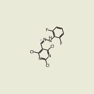 Fc1cccc(F)c1N/N=C\c1c(Cl)nc(Cl)nc1Cl